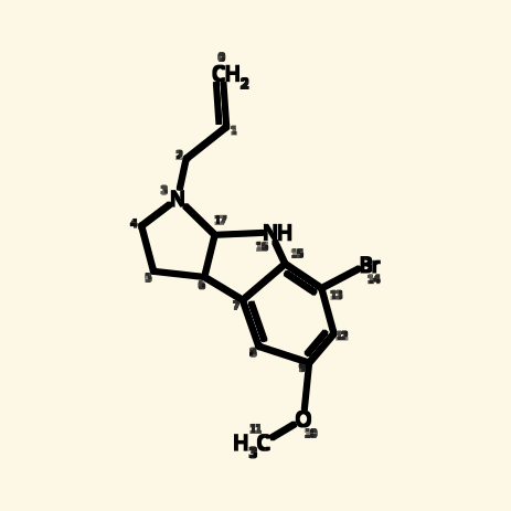 C=CCN1CCC2c3cc(OC)cc(Br)c3NC21